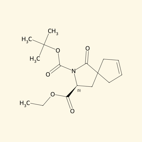 CCOC(=O)[C@@H]1CC2(CC=CC2)C(=O)N1C(=O)OC(C)(C)C